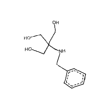 OCC(CO)(CO)NCc1ccccc1